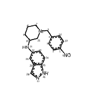 O=Nc1ccc(CN2CCCC(Nc3ccc4[nH]ncc4c3)C2)cc1